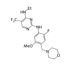 CCNc1nc(Nc2cc(OC)c(CN3CCOCC3)cc2F)ncc1C(F)(F)F